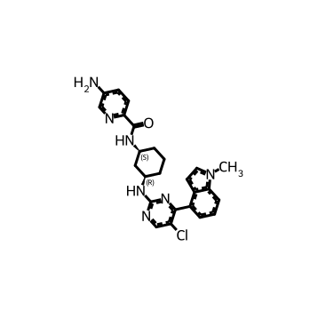 Cn1ccc2c(-c3nc(N[C@@H]4CCC[C@H](NC(=O)c5ccc(N)cn5)C4)ncc3Cl)cccc21